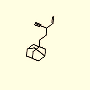 [CH]=CC(C#C)CCC12CC3CC(CC(C3)C1)C2